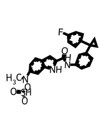 CN(O[SH](=O)=O)c1ccc2cc(C(=O)Nc3cccc(C4(c5ccc(F)cc5)CC4)c3)[nH]c2c1